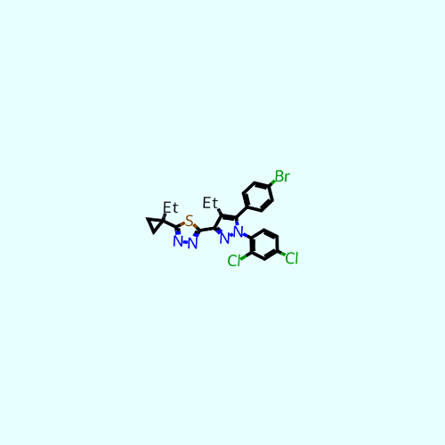 CCc1c(-c2nnc(C3(CC)CC3)s2)nn(-c2ccc(Cl)cc2Cl)c1-c1ccc(Br)cc1